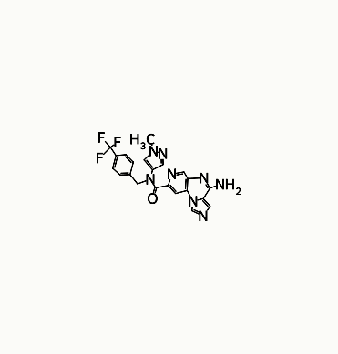 Cn1cc(N(Cc2ccc(C(F)(F)F)cc2)C(=O)c2cc3c(cn2)nc(N)c2cncn23)cn1